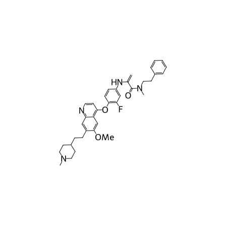 C=C(Nc1ccc(Oc2ccnc3cc(CCC4CCN(C)CC4)c(OC)cc23)c(F)c1)C(=O)N(C)CCc1ccccc1